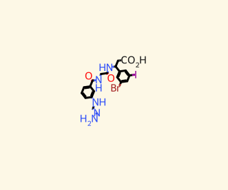 NN=CNc1cccc(C(=O)NCC(=O)NC(CC(=O)O)c2cc(Br)cc(I)c2)c1